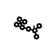 C1=CCC(C2(c3ccccc3)c3ccccc3-c3ccc(-c4ccc(C5=CC(c6ccccc6)=NC(c6ccccc6)N5)cc4)cc32)C=C1